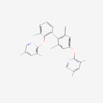 Cc1cc(Oc2ncc(C(F)(F)F)cc2Cl)cc(C)c1-c1[c]ccc(Cl)c1Oc1ncc(C(F)(F)F)cc1C(F)(F)F